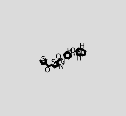 CN1[C@@H]2CC[C@H]1CC(Oc1ccc(-n3cnc4cc(C(=O)c5ccsc5)sc4c3=O)cc1)C2